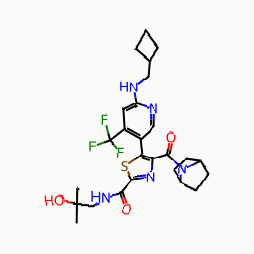 CC(C)(O)CNC(=O)c1nc(C(=O)N2C3CCC2CC3)c(-c2cnc(NCC3CCC3)cc2C(F)(F)F)s1